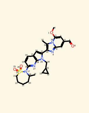 COc1cc(C=O)cc2nc(-c3cc4ccc(N5C(C)CCCCS5(=O)=O)nc4n3CC3CC3)c(C)n12